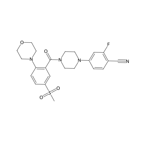 CS(=O)(=O)c1ccc(N2CCOCC2)c(C(=O)N2CCN(c3ccc(C#N)c(F)c3)CC2)c1